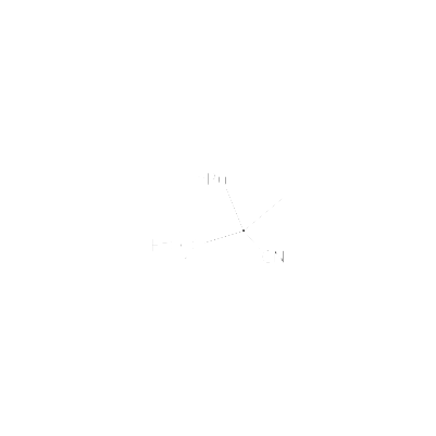 CCCCC(C)(C#N)C(=O)OCC